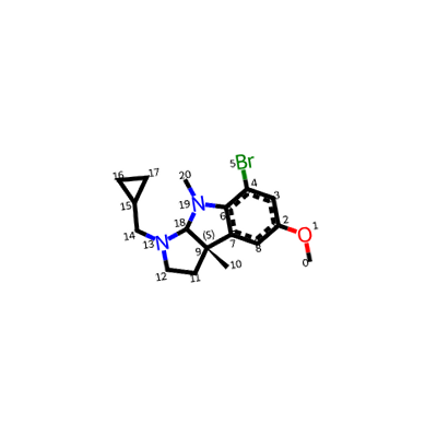 COc1cc(Br)c2c(c1)[C@]1(C)CCN(CC3CC3)C1N2C